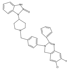 O=c1[nH]c2ccccc2n1C1CCN(Cc2ccc(N3Cc4cc(Cl)c(F)cc4N=C3c3ccccc3)cc2)CC1